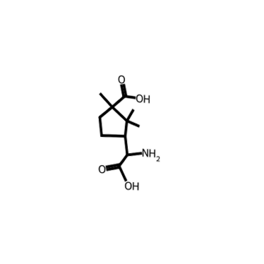 CC1(C(=O)O)CCC(C(N)C(=O)O)C1(C)C